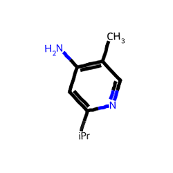 Cc1cnc(C(C)C)cc1N